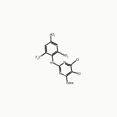 COc1nc(Nc2c([N+](=O)[O-])cc([N+](=O)[O-])cc2C(F)(F)F)nc(Cl)c1Cl